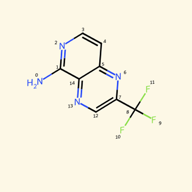 Nc1nccc2nc(C(F)(F)F)cnc12